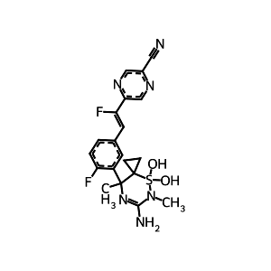 CN1C(N)=NC(C)(c2cc(C=C(F)c3cnc(C#N)cn3)ccc2F)C2(CC2)S1(O)O